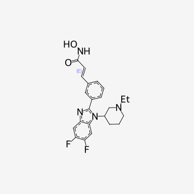 CCN1CCCC(n2c(-c3cccc(/C=C/C(=O)NO)c3)nc3cc(F)c(F)cc32)C1